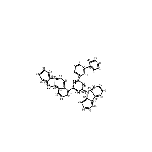 c1ccc(-c2cccc(-c3nc(-c4cccc5c4ccc4c6ccccc6oc54)nc(-n4c5ccccc5c5ccccc54)n3)c2)cc1